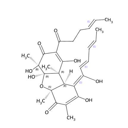 C/C=C/C=C/C(O)=C1/C(O)=C(C)C(=O)[C@@]2(C)O[C@@]3(O)[C@@](C)(O)C(=O)C(C(=O)CC/C=C/C)=C(O)[C@@]3(C)[C@@H]12